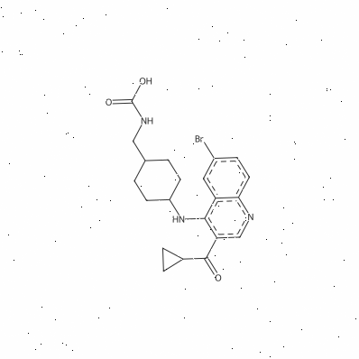 O=C(O)NCC1CCC(Nc2c(C(=O)C3CC3)cnc3ccc(Br)cc23)CC1